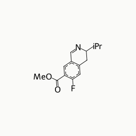 COC(=O)c1cc2c(cc1F)CC(C(C)C)N=C2